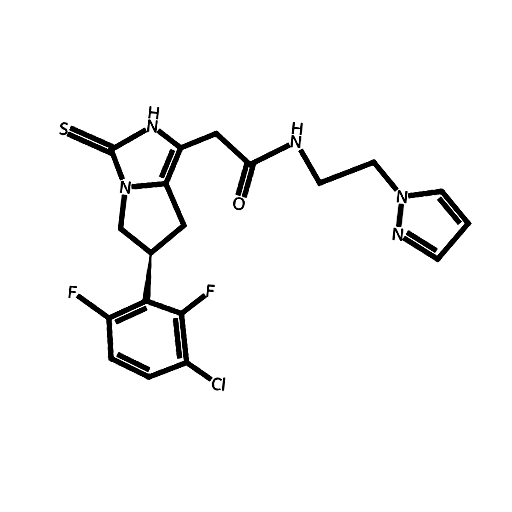 O=C(Cc1[nH]c(=S)n2c1C[C@@H](c1c(F)ccc(Cl)c1F)C2)NCCn1cccn1